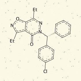 CCc1nn([C@H](c2ccccc2)c2ccc(Cl)cc2)c(=O)c2c(CC)noc12